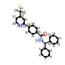 O=C(NC(c1ccccc1)c1ccccc1)c1ccc(-c2cc(C(F)(F)F)ccn2)cc1